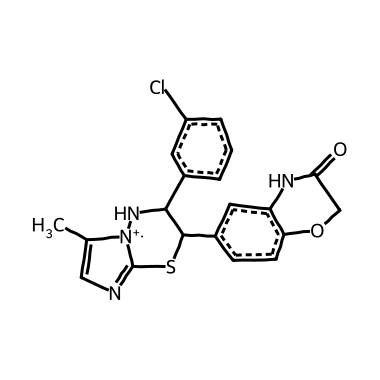 CC1=CN=C2SC(c3ccc4c(c3)NC(=O)CO4)C(c3cccc(Cl)c3)N[N+]12